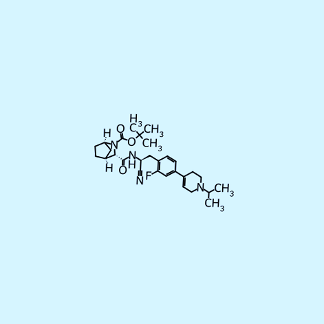 CC(C)N1CC=C(c2ccc(C[C@@H](C#N)NC(=O)[C@@H]3[C@H]4CC[C@H](C4)N3C(=O)OC(C)(C)C)c(F)c2)CC1